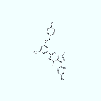 Cc1nc(C(C)NC(=O)c2cc(OCc3ccc(Cl)cc3)cc(C(F)(F)F)c2)n(-c2ccc(C#N)cn2)n1